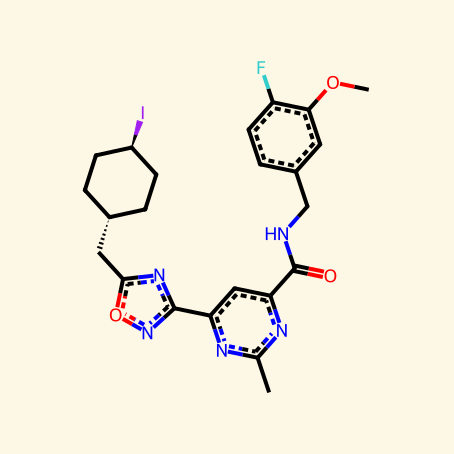 COc1cc(CNC(=O)c2cc(-c3noc(C[C@H]4CC[C@H](I)CC4)n3)nc(C)n2)ccc1F